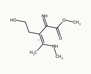 CN/C(C)=C(/CCO)C(=N)C(=O)OC